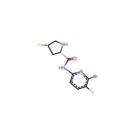 O=C(Nc1ccc(F)c(Br)n1)[C@@H]1C[C@@H](F)CN1